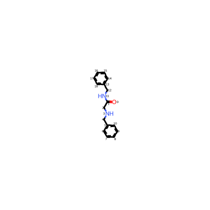 O=C(CNCc1ccccc1)NCc1ccccc1